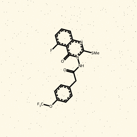 CSc1nc2cccc(F)c2c(=O)n1NC(=O)Cc1ccc(OC(F)(F)F)cc1